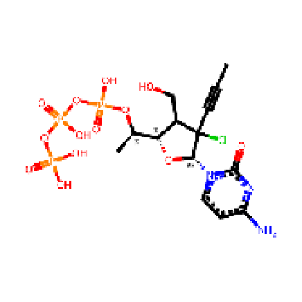 CC#CC1(Cl)C(CO)[C@@H]([C@@H](C)OP(=O)(O)OP(=O)(O)OP(=O)(O)O)O[C@H]1n1ccc(N)nc1=O